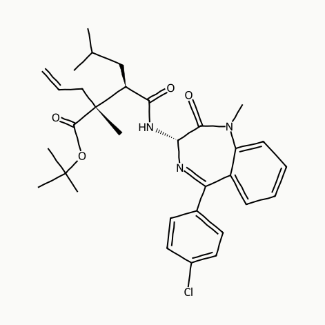 C=CC[C@@](C)(C(=O)OC(C)(C)C)[C@@H](CC(C)C)C(=O)N[C@H]1N=C(c2ccc(Cl)cc2)c2ccccc2N(C)C1=O